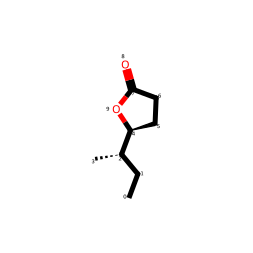 CC[C@H](C)[C@@H]1CCC(=O)O1